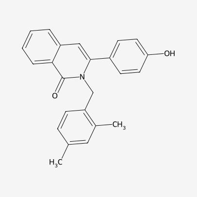 Cc1ccc(Cn2c(-c3ccc(O)cc3)cc3ccccc3c2=O)c(C)c1